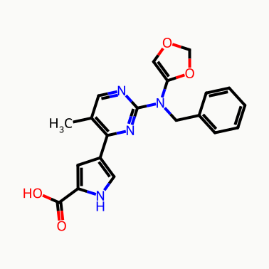 Cc1cnc(N(Cc2ccccc2)C2=COCO2)nc1-c1c[nH]c(C(=O)O)c1